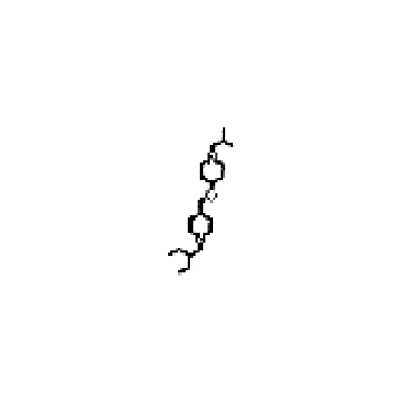 CCC(CC)CN1CCC(COC2CCN(CC(C)C)CC2)CC1